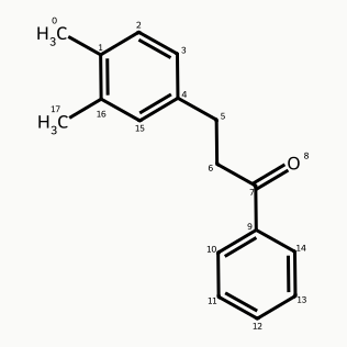 Cc1ccc(CCC(=O)c2ccccc2)cc1C